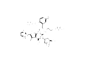 COCCO[C@@H](Cn1c(=O)n(C2CC(=O)N(C)C2)c(=O)c2c(C)c(-n3nccn3)sc21)c1cc(F)ccc1OC